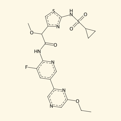 CCOc1cncc(-c2cnc(NC(=O)C(OC)c3csc(NS(=O)(=O)C4CC4)n3)c(F)c2)n1